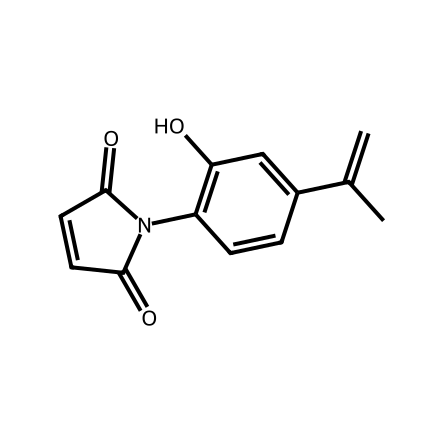 C=C(C)c1ccc(N2C(=O)C=CC2=O)c(O)c1